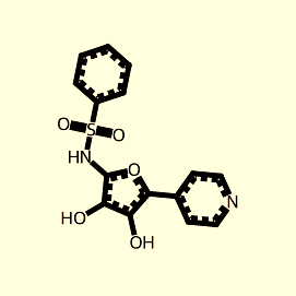 O=S(=O)(Nc1oc(-c2ccncc2)c(O)c1O)c1ccccc1